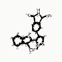 CCCC1NC(=O)c2ccc(-c3cnn(C)c3-c3sc4ccccc4c3C#N)cc21